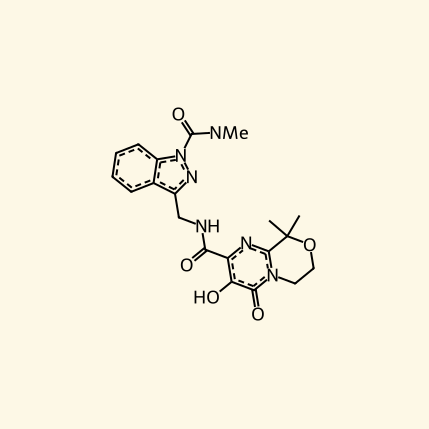 CNC(=O)n1nc(CNC(=O)c2nc3n(c(=O)c2O)CCOC3(C)C)c2ccccc21